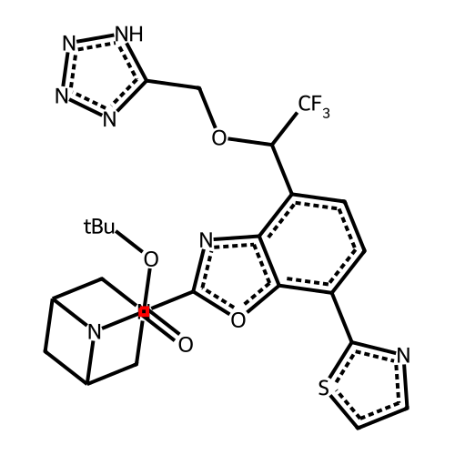 CC(C)(C)OC(=O)N1C2CC1CN(c1nc3c(C(OCc4nnn[nH]4)C(F)(F)F)ccc(-c4nccs4)c3o1)C2